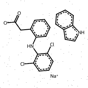 O=C([O-])Cc1ccccc1Nc1c(Cl)cccc1Cl.[Na+].c1ccc2[nH]ccc2c1